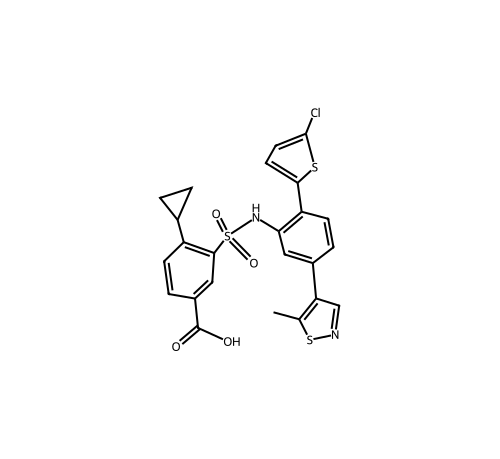 Cc1sncc1-c1ccc(-c2ccc(Cl)s2)c(NS(=O)(=O)c2cc(C(=O)O)ccc2C2CC2)c1